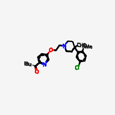 CC[C@@H](C)C(=O)c1ccc(OCCN2CCC(C=O)(c3cc(Cl)ccc3NC)CC2)cn1